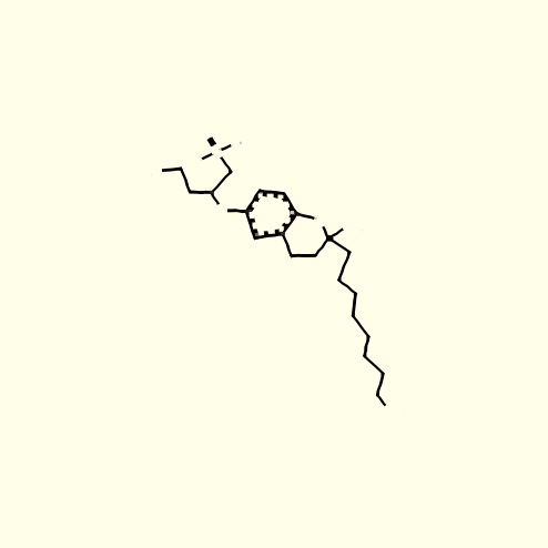 CCCCCCCCCC1(C)CCc2cc(OC(CCC)CP(=O)(O)O)ccc2O1